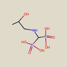 CC(O)CNC(P(=O)(O)O)P(=O)(O)O